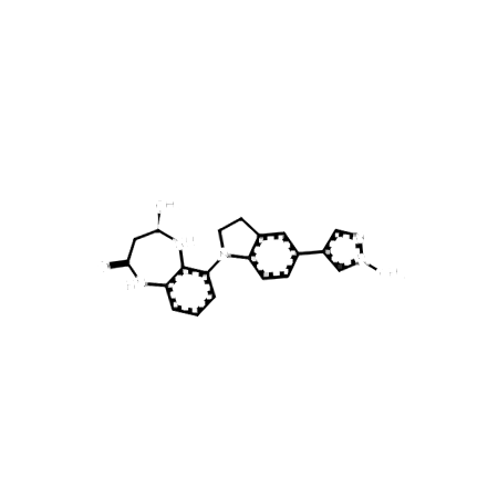 C[C@@H]1CC(=O)Nc2cccc(N3CCc4cc(-c5cnn(C)c5)ccc43)c2N1